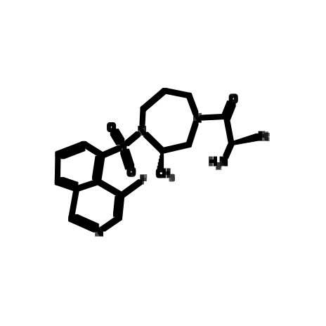 CC[C@@H](N)C(=O)N1CCCN(S(=O)(=O)c2cccc3cncc(F)c23)[C@@H](C)C1